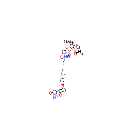 CCOc1cc(C(CS(C)(=O)=O)N2C(=O)c3cccc(NC(=O)CCCCCCCCNCc4ccc(COc5cccc6c5CN(C5CCC(=O)NC5=O)C6=O)cc4)c3C2=O)ccc1OC